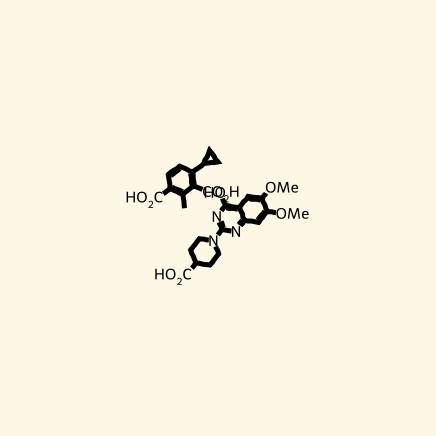 COc1cc2nc(N3CCC(C(=O)O)CC3)nc(O)c2cc1OC.Cc1c(C(=O)O)ccc(C2CC2)c1C(=O)O